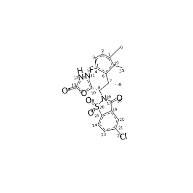 Cc1ccc(F)c([C@H](C)[C@@H](c2n[nH]c(=O)o2)N2C(=O)c3cc(Cl)ccc3S2(=O)=O)c1C